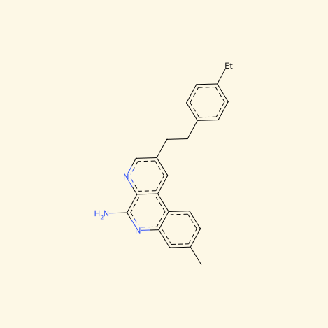 [CH2]Cc1ccc(CCc2cnc3c(N)nc4cc(C)ccc4c3c2)cc1